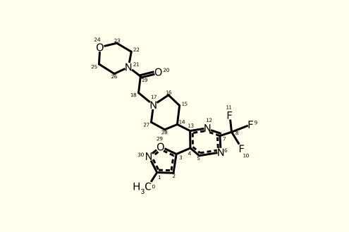 Cc1cc(-c2cnc(C(F)(F)F)nc2C2CCN(CC(=O)N3CCOCC3)CC2)on1